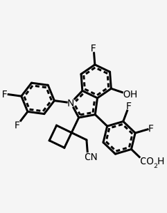 N#CCC1(c2c(-c3ccc(C(=O)O)c(F)c3F)c3c(O)cc(F)cc3n2-c2ccc(F)c(F)c2)CCC1